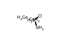 [GeH4].[GeH4].[SiH3][SiH2]Cl